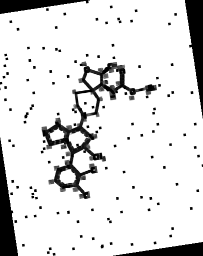 Cc1nc(N2CCC3(CC2)CO[C@@H](C)[C@H]3NC(=O)OC(C)(C)C)c2nncn2c1-c1cccc(Cl)c1Cl